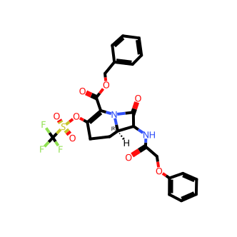 O=C(COc1ccccc1)NC1C(=O)N2C(C(=O)OCc3ccccc3)=C(OS(=O)(=O)C(F)(F)F)CC[C@H]12